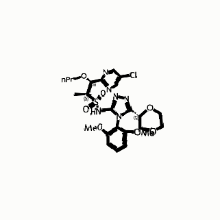 CCCO[C@@H](c1ncc(Cl)cn1)[C@H](C)S(=O)(=O)Nc1nnc([C@H]2COCCO2)n1-c1c(OC)cccc1OC